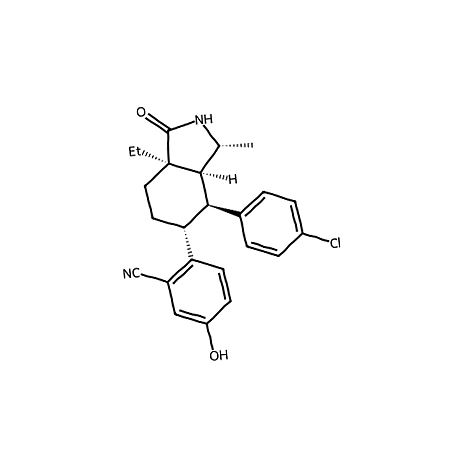 CC[C@@]12CC[C@@H](c3ccc(O)cc3C#N)[C@H](c3ccc(Cl)cc3)[C@@H]1[C@@H](C)NC2=O